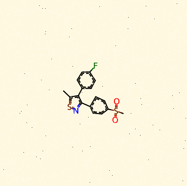 Cc1snc(-c2ccc(S(C)(=O)=O)cc2)c1-c1ccc(F)cc1